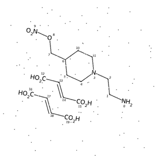 NCCN1CCC(CO[N+](=O)[O-])CC1.O=C(O)C=CC(=O)O.O=C(O)C=CC(=O)O